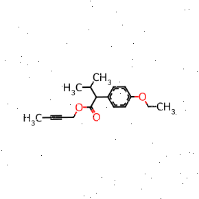 CC#CCOC(=O)C(c1ccc(OCC)cc1)C(C)C